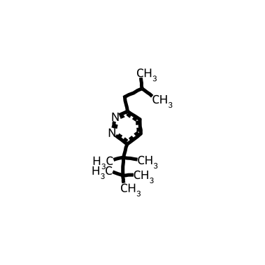 CC(C)Cc1ccc(C(C)(C)C(C)(C)C)nn1